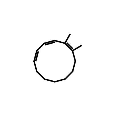 CC1=C(C)CCCCCCC=CC=C1